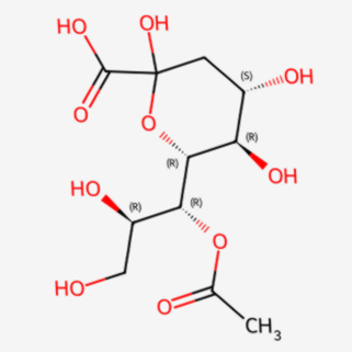 CC(=O)O[C@@H]([C@@H]1OC(O)(C(=O)O)C[C@H](O)[C@H]1O)[C@H](O)CO